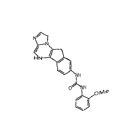 COc1ccccc1NC(=O)Nc1ccc2c(c1)CC1=C2NC=C2N=CCN21